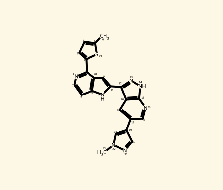 Cc1ccc(-c2nccc3[nH]c(-c4n[nH]c5ncc(-c6cnn(C)c6)cc45)cc23)s1